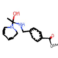 COC(=O)c1ccc(CNC(C)(O)N2C=CC=CC2)cc1